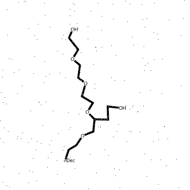 CCCCCCCCCCCCOCC(CCO)OCCOCCOCCO